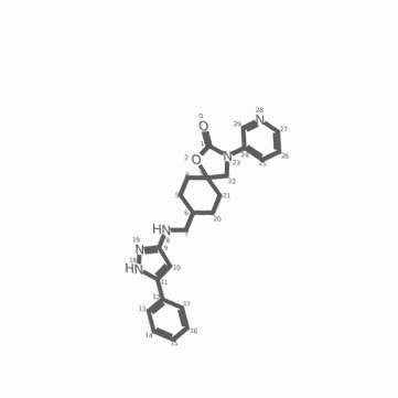 O=C1OC2(CCC(CNc3cc(-c4ccccc4)[nH]n3)CC2)CN1c1cccnc1